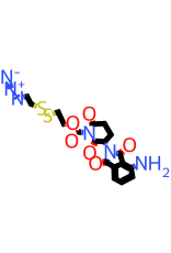 [N-]=[N+]=NCCSSCCOC(=O)N1C(=O)CCC(N2C(=O)c3cccc(N)c3C2=O)C1=O